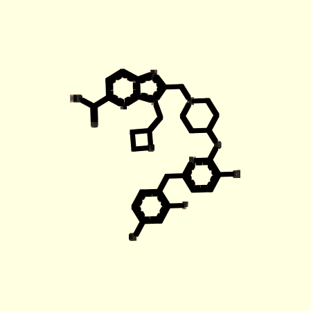 O=C(O)c1ccc2nc(CN3CCC(Oc4nc(Cc5ccc(Cl)cc5F)ccc4Cl)CC3)n(CC3CCO3)c2n1